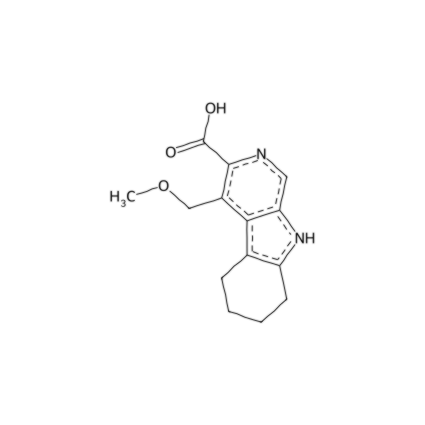 COCc1c(C(=O)O)ncc2[nH]c3c(c12)CCCC3